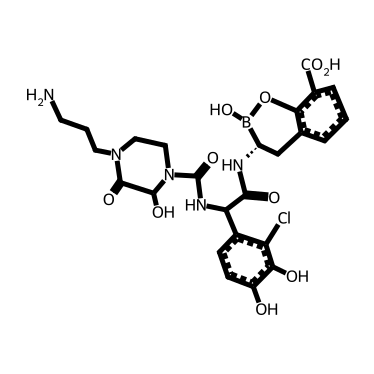 NCCCN1CCN(C(=O)NC(C(=O)N[C@H]2Cc3cccc(C(=O)O)c3OB2O)c2ccc(O)c(O)c2Cl)C(O)C1=O